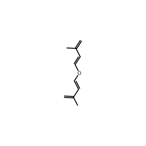 C=C(C)C=COC=CC(=C)C